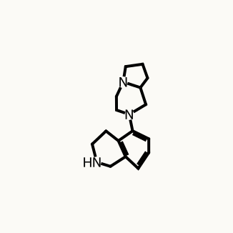 c1cc2c(c(N3CCN4CCCC4C3)c1)CCNC2